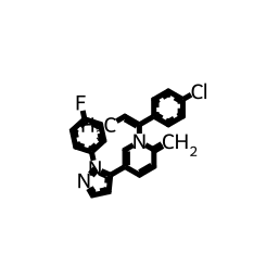 C=C1C=CC(c2ccnn2-c2ccc(F)cc2)=CN1/C(=C\C)c1ccc(Cl)cc1